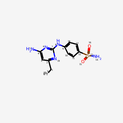 CC(C)Cc1cc(N)nc(Nc2ccc(S(N)(=O)=O)cc2)n1